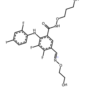 O=C(NOCCCO)c1cc(/C=N/OCCO)c(F)c(F)c1Nc1ccc(I)cc1F